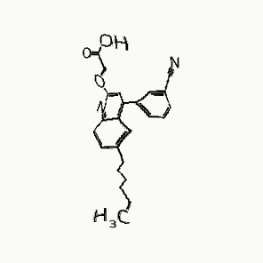 CCCCCCc1ccc2nc(OCC(=O)O)cc(-c3cccc(C#N)c3)c2c1